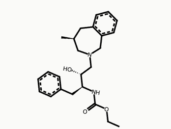 CCOC(=O)N[C@@H](Cc1ccccc1)[C@H](O)CN1Cc2ccccc2C[C@H](C)C1